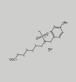 CCCCc1ccc(CN(CCCCCCC(=O)[O-])S(C)(=O)=O)cc1.[Na+]